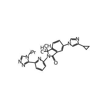 CC(C)n1cnnc1-c1cccc(N2C(=O)c3cc(-n4cnc(C5CC5)c4)ccc3C2(C)C)n1